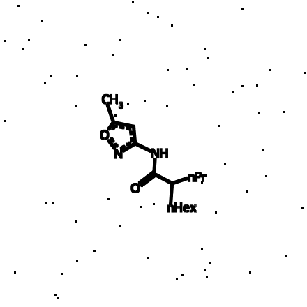 CCCCCCC(CCC)C(=O)Nc1cc(C)on1